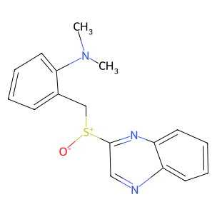 CN(C)c1ccccc1C[S+]([O-])c1cnc2ccccc2n1